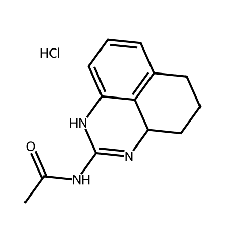 CC(=O)NC1=NC2CCCc3cccc(c32)N1.Cl